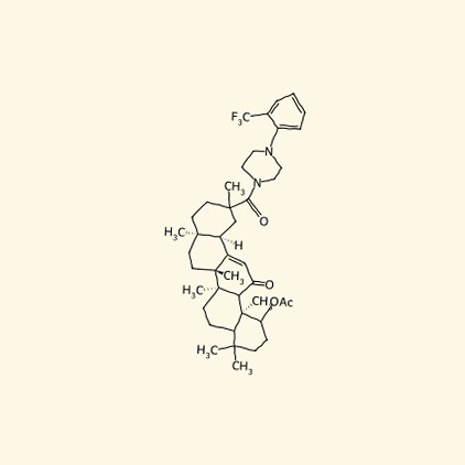 CC(=O)OC1CCC(C)(C)C2CC[C@]3(C)C(C(=O)C=C4[C@@H]5CC(C)(C(=O)N6CCN(c7ccccc7C(F)(F)F)CC6)CC[C@]5(C)CC[C@]43C)[C@@]12C